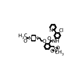 CC(=O)N1CCN(CCOc2cccc(CS(C)(=O)=O)c2C(=O)Nc2ccc(Cl)c(-c3ccccn3)c2)CC1